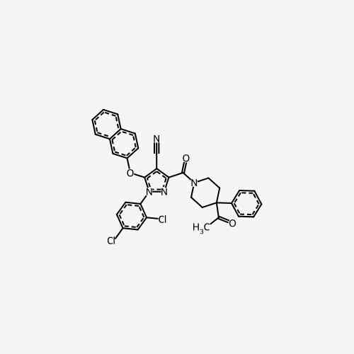 CC(=O)C1(c2ccccc2)CCN(C(=O)c2nn(-c3ccc(Cl)cc3Cl)c(Oc3ccc4ccccc4c3)c2C#N)CC1